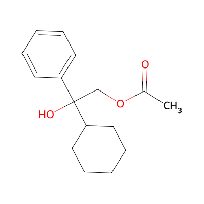 CC(=O)OCC(O)(c1ccccc1)C1CCCCC1